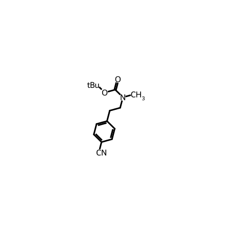 CN(CCc1ccc(C#N)cc1)C(=O)OC(C)(C)C